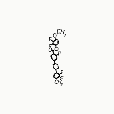 CCOc1ccc(OC(=O)c2ccc(C3=CCC(c4ccc(C)c(F)c4F)CC3)cc2F)c(F)c1F